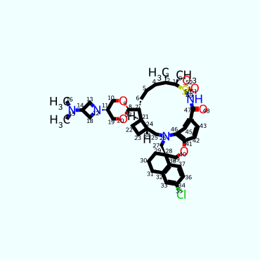 C[C@@H]1[C@@H](C)CCC[C@@H]([C@H]2OC[C@@H](N3CC(N(C)C)C3)CO2)[C@@H]2CC[C@H]2CN2C[C@@]3(CCCc4cc(Cl)ccc43)COc3ccc(cc32)C(=O)NS1(=O)=O